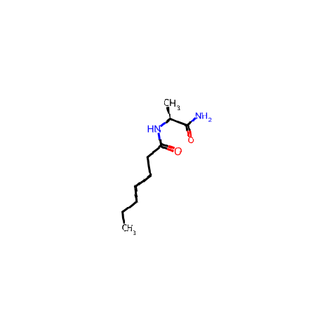 CCCCCCC(=O)N[C@@H](C)C(N)=O